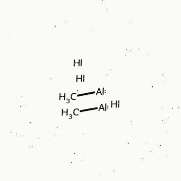 I.I.I.[CH3][Al].[CH3][Al]